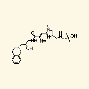 C=N/C(=C\C1=NC(CNCC(C)(C)O)CN1C)C(=O)NC[C@H](O)CN1CCc2ccccc2C1